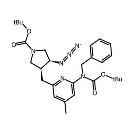 Cc1cc(C[C@H]2CN(C(=O)OC(C)(C)C)C[C@H]2N=[N+]=[N-])nc(N(Cc2ccccc2)C(=O)OC(C)(C)C)c1